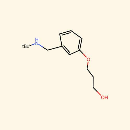 CC(C)(C)NCc1cccc(OCCCO)c1